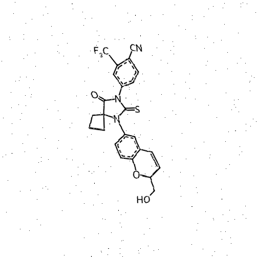 N#Cc1ccc(N2C(=O)C3(CCC3)N(c3ccc4c(c3)C=CC(CO)O4)C2=S)cc1C(F)(F)F